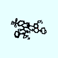 CCS(=O)(=O)c1ccc2nc(-c3cccc(C(F)(F)F)c3)c(CN3CCC(N4CCOCC4)CC3)c(C(=O)N[C@H](c3ccccc3)C(F)(F)F)c2c1